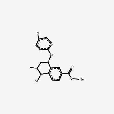 CCCCOC(=O)c1ccc2c(c1)[C@H](Nc1ncc(Cl)cn1)C[C@H](C)N2C(C)=O